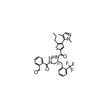 CCCc1sc(C(=O)N[C@H](CNC(=O)c2ccccc2C=O)Cc2ccccc2C(F)(F)F)cc1-c1c(C)cnn1C